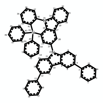 c1ccc(-c2ccc3c(c2)c2cc(-c4ccccc4)ccc2n3-c2cc3c4c(c2)c2ccccc2n4-c2ccccc2[Si]3(c2ccccc2)c2ccccc2)cc1